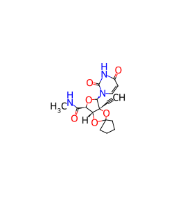 C#C[C@@]12OC3(CCCC3)O[C@@H]1[C@@H](C(=O)NC)O[C@H]2n1ccc(=O)[nH]c1=O